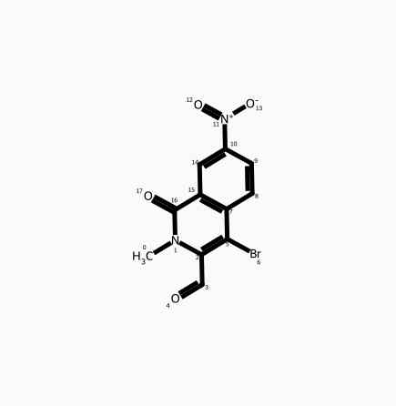 Cn1c(C=O)c(Br)c2ccc([N+](=O)[O-])cc2c1=O